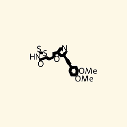 COc1ccc(C#Cc2cncc3cc(/C=C4\SC(=S)NC4=O)oc23)cc1OC